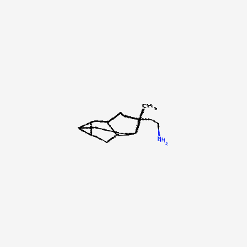 CC1(CN)CC2C3CC4C2C4C31